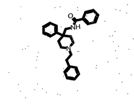 O=C(NCC1(c2ccccc2)CCN(CCc2ccccc2)CC1)c1ccccc1